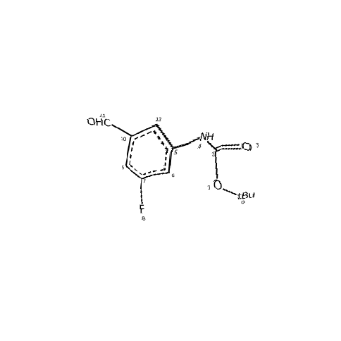 CC(C)(C)OC(=O)Nc1cc(F)cc(C=O)c1